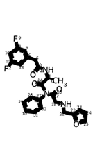 C[C@H](NC(=O)Cc1cc(F)cc(F)c1)C(=O)N(C(=O)CNCc1ccco1)c1ccccc1